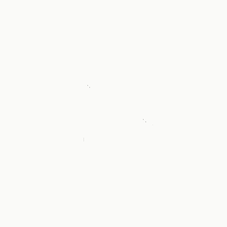 CC(N)CCON.Cl.Cl